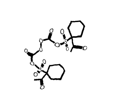 CC(=O)C1(S(=O)(=O)OC(=O)OOC(=O)OS(=O)(=O)C2(C(C)=O)CCCCC2)CCCCC1